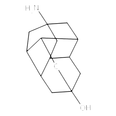 NC12CC3C4CC5(O)CC3C(C1)C(C5)C4C2